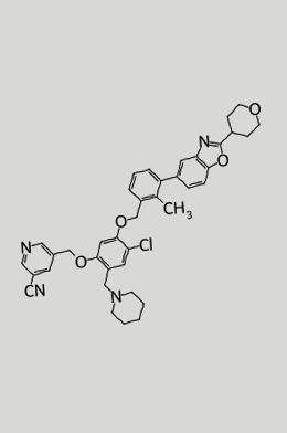 Cc1c(COc2cc(OCc3cncc(C#N)c3)c(CN3CCCCC3)cc2Cl)cccc1-c1ccc2oc(C3CCOCC3)nc2c1